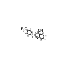 N#Cc1cc(Cc2ccc(C(F)(F)F)cc2)nc2ccccc12